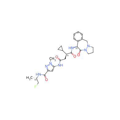 C[C@@H](CF)NC(=O)c1cc(NC(=O)C[C@H](C(=O)N[C@@H]2C(=O)N3CCCN3Cc3ccccc32)C2CC2)n(C)n1